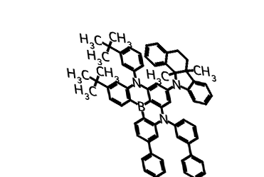 CC(C)(C)c1cccc(N2c3cc(C(C)(C)C)ccc3B3c4ccc(-c5ccccc5)cc4N(c4cccc(-c5ccccc5)c4)c4cc(N5c6ccccc6C6(C)CCc7ccccc7C56C)cc2c43)c1